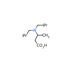 CC(C)CN(CC(C)C)C(C)CC(=O)O